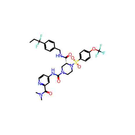 CCC(F)(F)c1ccc(CNC(=O)[C@H]2CN(C(=O)Nc3ccnc(C(=O)N(C)C)c3)CCN2S(=O)(=O)c2ccc(OC(F)(F)F)cc2)cc1